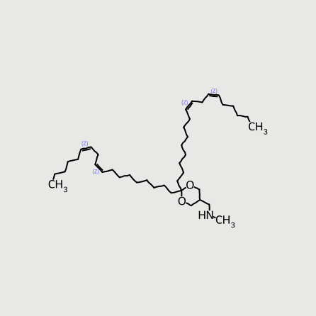 CCCCC/C=C\C/C=C\CCCCCCCCC1(CCCCCCCC/C=C\C/C=C\CCCCC)OCC(CNC)CO1